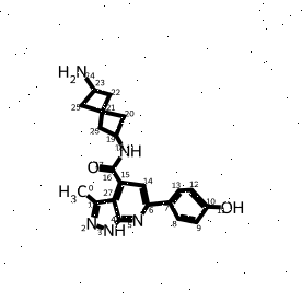 Cc1n[nH]c2nc(-c3ccc(O)cc3)cc(C(=O)NC3CC4(CC(N)C4)C3)c12